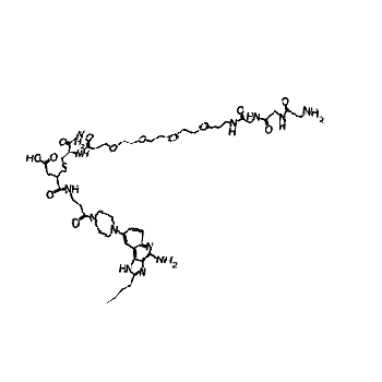 CCCCc1nc2c(N)nc3ccc(N4CCN(C(=O)CCNC(=O)C(CC(=O)O)SCC(NC(=O)CCOCCOCCOCCOCCNC(=O)CNC(=O)CNC(=O)CN)C(N)=O)CC4)cc3c2[nH]1